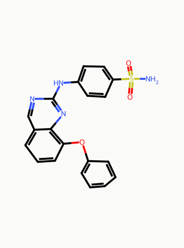 NS(=O)(=O)c1ccc(Nc2ncc3cccc(Oc4ccccc4)c3n2)cc1